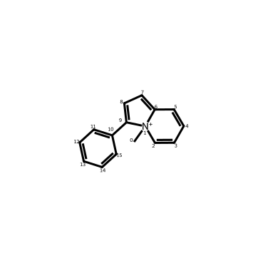 C[N+]12C=CC=CC1=CC=C2c1ccccc1